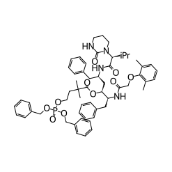 Cc1cccc(C)c1OCC(=O)N[C@@H](Cc1ccccc1)[C@H](C[C@@H](Cc1ccccc1)NC(=O)[C@H](C(C)C)N1CCCNC1=O)OC(=O)C(C)(C)CCOP(=O)(OCc1ccccc1)OCc1ccccc1